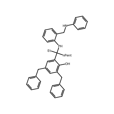 CCCCCC(CC)(Pc1ccccc1CNc1ccccc1)c1cc(Cc2ccccc2)cc(Cc2ccccc2)c1O